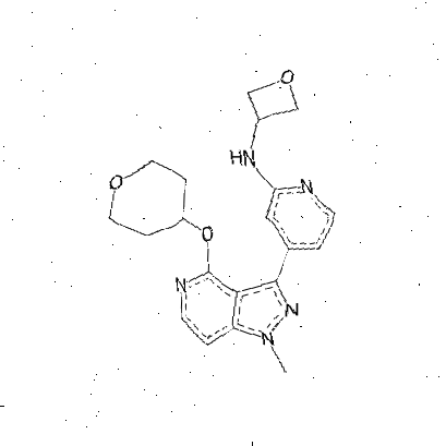 Cn1nc(-c2ccnc(NC3COC3)c2)c2c(OC3CCOCC3)nccc21